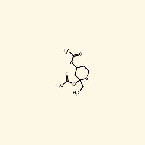 CCC1(OC(C)=O)CC(OC(C)=O)CCS1